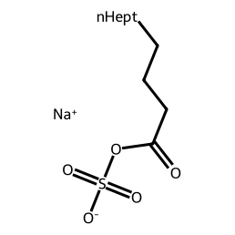 CCCCCCCCCCC(=O)OS(=O)(=O)[O-].[Na+]